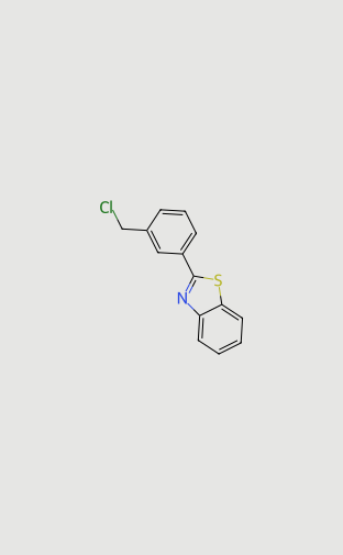 ClCc1cccc(-c2nc3ccccc3s2)c1